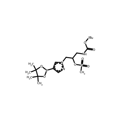 CC(C)(C)OC(=O)NCC(Cn1cc(B2OC(C)(C)C(C)(C)O2)cn1)OS(C)(=O)=O